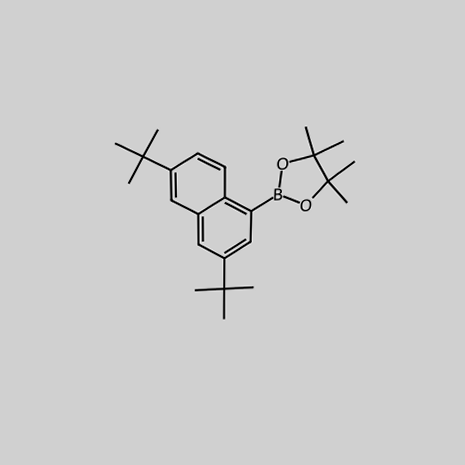 CC(C)(C)c1ccc2c(B3OC(C)(C)C(C)(C)O3)cc(C(C)(C)C)cc2c1